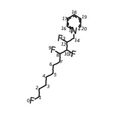 FCCCCCCCC(F)C(F)C(F)C[n+]1ccccc1